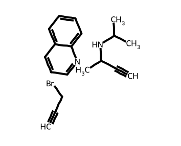 C#CC(C)NC(C)C.C#CCBr.c1ccc2ncccc2c1